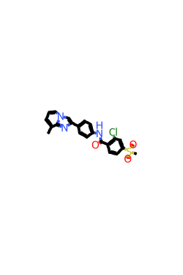 Cc1cccn2cc(-c3ccc(NC(=O)c4ccc(S(C)(=O)=O)cc4Cl)cc3)nc12